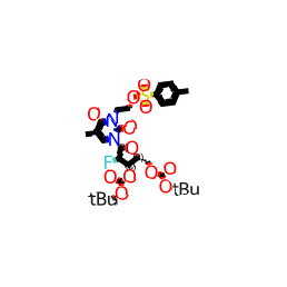 Cc1ccc(S(=O)(=O)OCCn2c(=O)c(C)cn([C@@H]3O[C@H](COC(=O)OC(C)(C)C)[C@H](OC(=O)OC(C)(C)C)C3F)c2=O)cc1